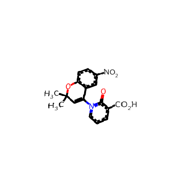 CC1(C)C=C(n2cccc(C(=O)O)c2=O)c2cc([N+](=O)[O-])ccc2O1